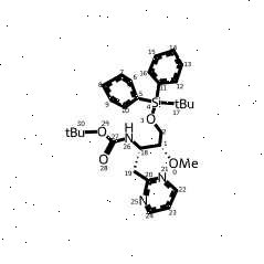 CO[C@@H](CO[Si](c1ccccc1)(c1ccccc1)C(C)(C)C)[C@H](Cc1ncccn1)NC(=O)OC(C)(C)C